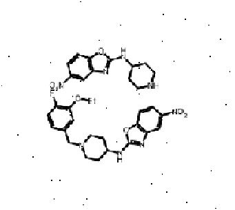 CCOc1cc(CN2CCC(Nc3nc4cc([N+](=O)[O-])ccc4o3)CC2)ccc1F.O=[N+]([O-])c1ccc2oc(NC3CCNCC3)nc2c1